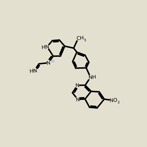 CC(c1ccc(Nc2ncnc3ccc([N+](=O)[O-])cc23)cc1)c1cc[nH]/c(=N\C=N)c1